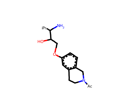 CC(=O)N1CCc2cc(OCC(O)C(N)C(C)C)ccc2C1